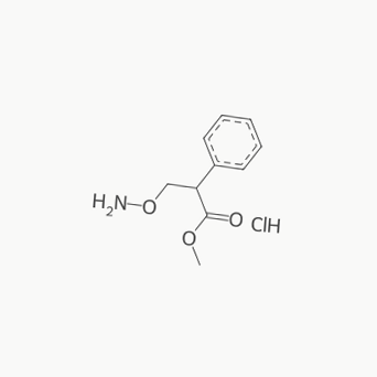 COC(=O)C(CON)c1ccccc1.Cl